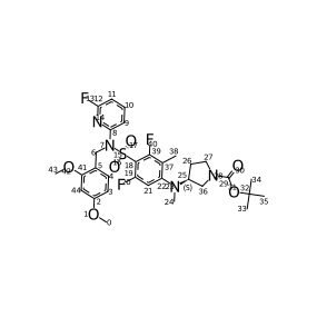 COc1ccc(CN(c2cccc(F)n2)S(=O)(=O)c2c(F)cc(N(C)[C@H]3CCN(C(=O)OC(C)(C)C)C3)c(C)c2F)c(OC)c1